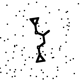 CC(COC1CC1)OC1CC1